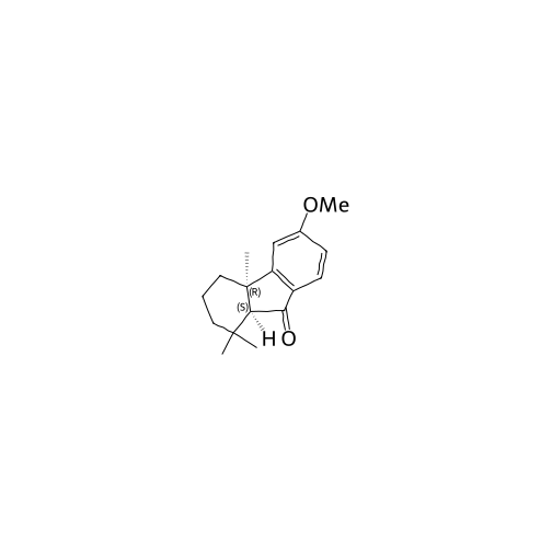 COc1ccc2c(c1)[C@]1(C)CCCC(C)(C)[C@@H]1C2=O